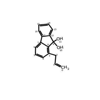 C=CCc1cccc2c1C(O)(O)c1ccccc1-2